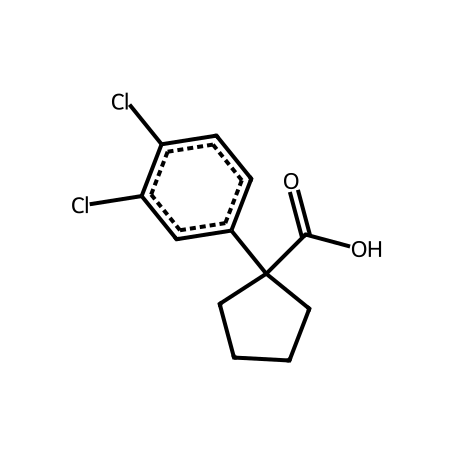 O=C(O)C1(c2ccc(Cl)c(Cl)c2)CCCC1